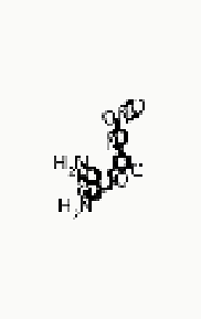 NC(=O)C=C(CC1Cc2cc(-c3ccc(C(=O)N4CCOCC4)cn3)cc(Cl)c2O1)c1ccc(N)nc1